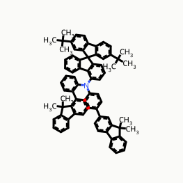 CC(C)(C)c1ccc2c(c1)C1(c3cc(C(C)(C)C)ccc3-2)c2ccccc2-c2c(N(c3ccc(-c4ccc5c(c4)C(C)(C)c4ccccc4-5)cc3)c3ccccc3-c3cccc4c3C(C)(C)c3ccccc3-4)cccc21